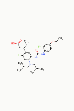 CCOc1ccc(NC(=O)Nc2cc(C(CC)CC(=O)O)c(F)cc2N(CC(C)C)CC(C)C)c(F)c1